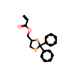 C=CC(=O)OCC1CSC(c2ccccc2)(c2ccccc2)S1